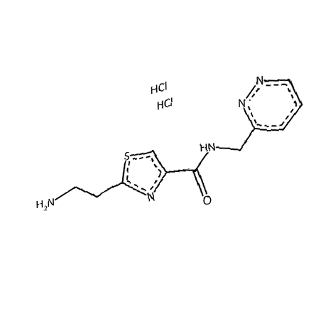 Cl.Cl.NCCc1nc(C(=O)NCc2cccnn2)cs1